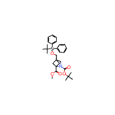 COC(=O)C12CC(CO[Si](c3ccccc3)(c3ccccc3)C(C)(C)C)(CN1C(=O)OC(C)(C)C)C2